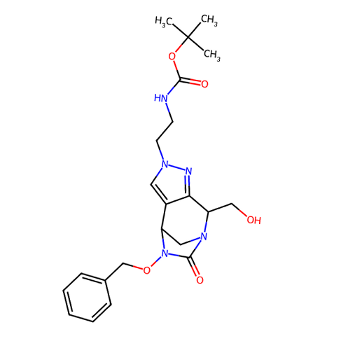 CC(C)(C)OC(=O)NCCn1cc2c(n1)C(CO)N1CC2N(OCc2ccccc2)C1=O